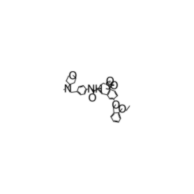 CCOc1ccccc1COc1ccc2c(c1)C=C(C(=O)Nc1ccc(CN(C)C3CCOCC3)cc1)CCS2(=O)=O